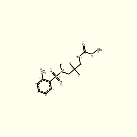 CN(CC(C)(C)CNC(=O)OC(C)(C)C)S(=O)(=O)c1ccccc1[N+](=O)[O-]